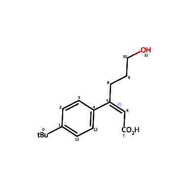 CC(C)(C)c1ccc(/C(=C\C(=O)O)CCCO)cc1